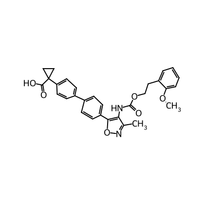 COc1ccccc1CCOC(=O)Nc1c(C)noc1-c1ccc(-c2ccc(C3(C(=O)O)CC3)cc2)cc1